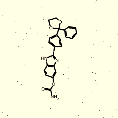 NC(=O)Oc1ccc2[nH]c(-c3ccc(C4(c5ccccc5)OCCO4)cc3)nc2c1